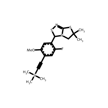 COc1cc(C2SN=C3SC(C)(C)CN32)c(F)cc1C#C[Si](C)(C)C